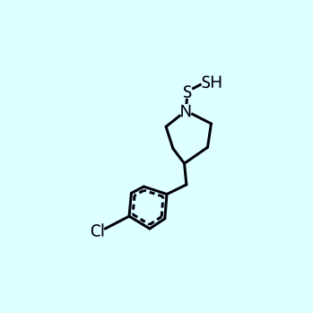 SSN1CCC(Cc2ccc(Cl)cc2)CC1